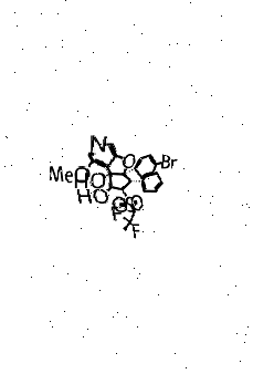 COc1cncc2c1[C@]1(O)[C@H](O)[C@H](S(=O)(=O)CC(C)(F)F)[C@@H](c3ccccc3)[C@]1(c1ccc(Br)cc1)O2